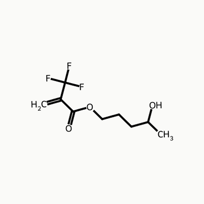 C=C(C(=O)OCCCC(C)O)C(F)(F)F